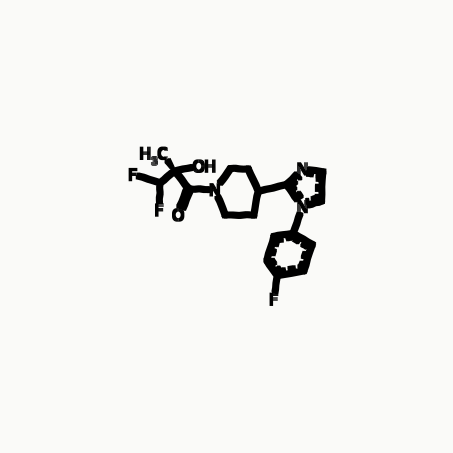 C[C@@](O)(C(=O)N1CCC(c2nccn2-c2ccc(F)cc2)CC1)C(F)F